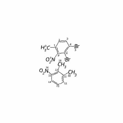 Cc1ccc(Br)c(Br)c1[N+](=O)[O-].Cc1cccc([N+](=O)[O-])c1C